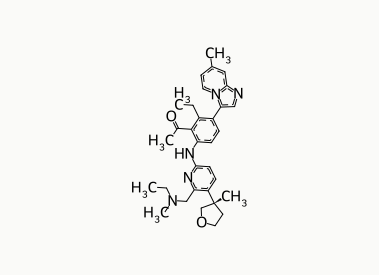 CCc1c(-c2cnc3cc(C)ccn23)ccc(Nc2ccc([C@]3(C)CCOC3)c(CN(C)CC)n2)c1C(C)=O